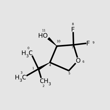 CC(C)(C)[C@@H]1COC(F)(F)[C@@H]1O